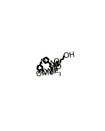 COc1ccc(CN2C=C(c3cc(C(F)(F)F)nc(S(=O)(=O)CCCCO)n3)C=CC2)cc1OC